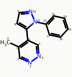 Cc1cnncc1-c1ccnn1-c1ccccc1